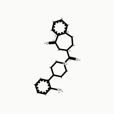 Cc1ccccc1C1CCN(C(=O)C2CCc3ccccc3C(=O)C2)CC1